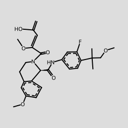 C=C(O)/C=C(\OC)C(=O)N1CCc2cc(OC)ccc2[C@@H]1C(=O)Nc1ccc(C(C)(C)COC)c(F)c1